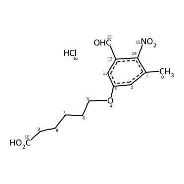 Cc1cc(OCCCCCC(=O)O)cc(C=O)c1[N+](=O)[O-].Cl